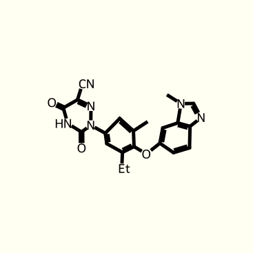 CCc1cc(-n2nc(C#N)c(=O)[nH]c2=O)cc(C)c1Oc1ccc2ncn(C)c2c1